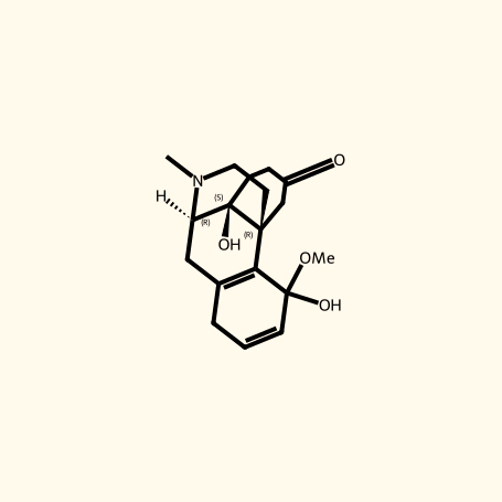 COC1(O)C=CCC2=C1[C@]13CCN(C)[C@H](C2)[C@]1(O)CCC(=O)C3